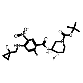 CC(C)(C)OC(=O)N1CC[C@H](F)[C@@H](NC(=O)c2cc([N+](=O)[O-])c(NCC3(F)CC3)cc2F)C1